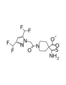 COC(=O)C1(C(N)=S)CCN(C(=O)Cn2nc(C(F)F)cc2C(F)F)CC1